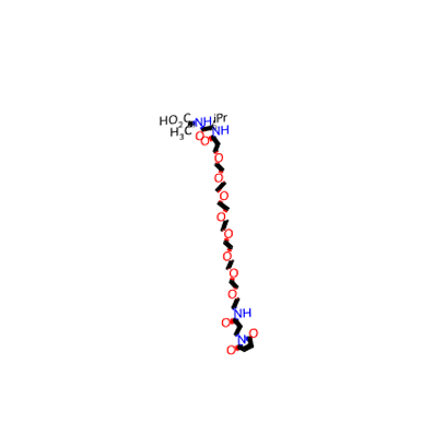 CC(C)[C@H](NC(=O)CCOCCOCCOCCOCCOCCOCCOCCOCCNC(=O)CCN1C(=O)C=CC1=O)C(=O)N[C@@H](C)C(=O)O